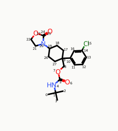 CC(C)(C)NC(=O)OCC1(c2cccc(Cl)c2)CCC(N2CCOC2=O)CC1